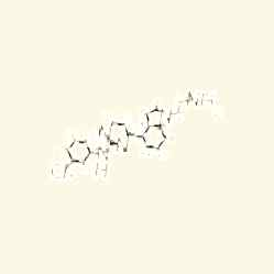 NCCn1ccc2c(-c3ccnc(Nc4cccc(Cl)c4)n3)cccc21